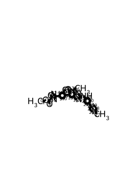 CCOC(=O)c1nc(-c2ccc(-c3cc4cnc(Nc5ccc(N6CCN(C)CC6)cc5)nc4n(CC)c3=O)c(Cl)c2)no1